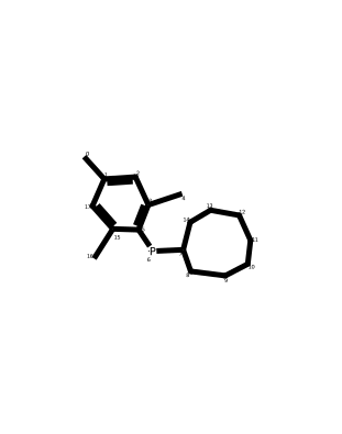 Cc1cc(C)c([P]C2CCCCCCC2)c(C)c1